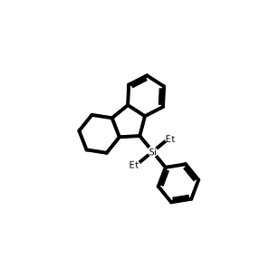 CC[Si](CC)(c1ccccc1)C1C2C=CC=CC2C2CCCCC21